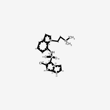 CN(C)CCn1ccc2cccc(NS(=O)(=O)c3c(Cl)nc4sccn34)c21